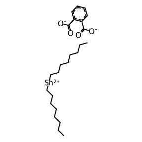 CCCCCCC[CH2][Sn+2][CH2]CCCCCCC.O=C([O-])c1ccccc1C(=O)[O-]